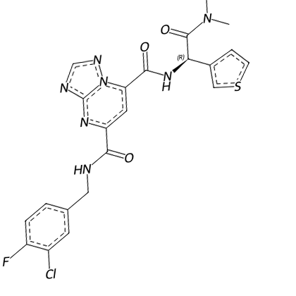 CN(C)C(=O)[C@H](NC(=O)c1cc(C(=O)NCc2ccc(F)c(Cl)c2)nc2ncnn12)c1ccsc1